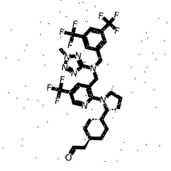 Cn1nnc(N(Cc2cc(C(F)(F)F)cc(C(F)(F)F)c2)Cc2cc(C(F)(F)F)cnc2N2CCC[C@@H]2[C@H]2CC[C@H](CC=O)CC2)n1